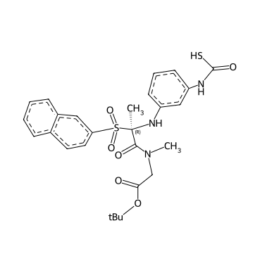 CN(CC(=O)OC(C)(C)C)C(=O)[C@](C)(Nc1cccc(NC(=O)S)c1)S(=O)(=O)c1ccc2ccccc2c1